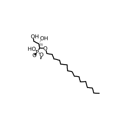 CCCCCCCCCCCCCCCCOC([C@@H](O)CO)P(=O)(O)OC